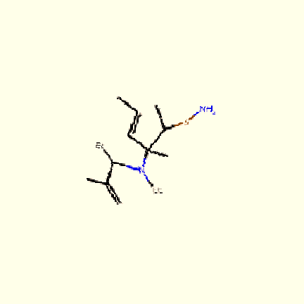 C=C(C)C(CC)N(CC)C(C)(C=CC)C(C)SN